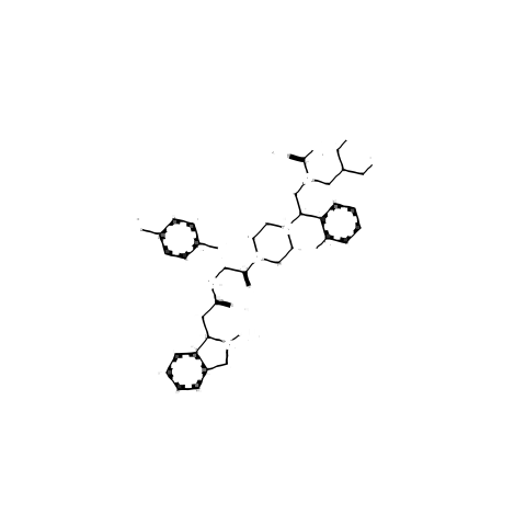 CCC(CC)CN(CC(c1ccccc1F)N1CCN(C(=O)[C@@H](Cc2ccc(Cl)cc2)NC(=O)CC2c3ccccc3CN2C)CC1)C(C)=O